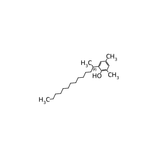 CCCCCCCCCCCC[C@@H](C)c1cc(C)cc(C)c1O